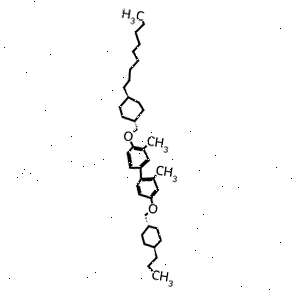 CCCCCCCCC[C@H]1CC[C@H](COc2ccc(-c3ccc(OC[C@H]4CC[C@H](CCC)CC4)cc3C)cc2C)CC1